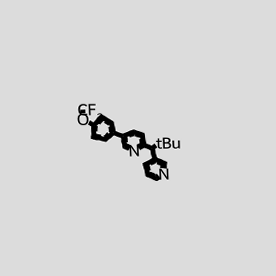 CC(C)(C)C(c1cccnc1)c1ccc(-c2ccc(OC(F)(F)F)cc2)cn1